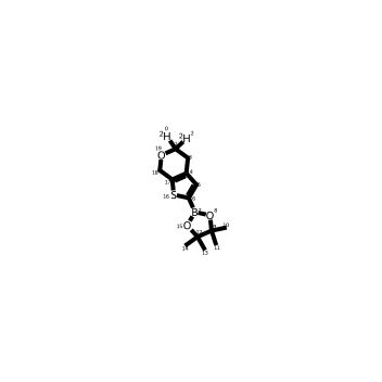 [2H]C1([2H])Cc2cc(B3OC(C)(C)C(C)(C)O3)sc2CO1